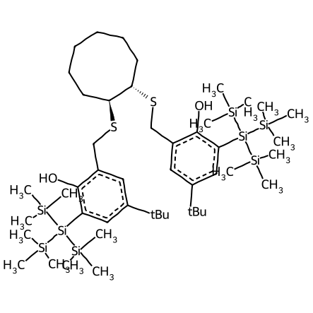 CC(C)(C)c1cc(CS[C@H]2CCCCCC[C@@H]2SCc2cc(C(C)(C)C)cc([Si]([Si](C)(C)C)([Si](C)(C)C)[Si](C)(C)C)c2O)c(O)c([Si]([Si](C)(C)C)([Si](C)(C)C)[Si](C)(C)C)c1